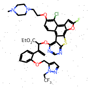 C=C(c1ccccc1OCc1ccnn1CC(F)(F)F)C(Oc1ncnc2sc3c4oc(F)cc4c4c(Cl)c(OCCN5CCN(C)CC5)ccc4c3c12)C(=O)OCC